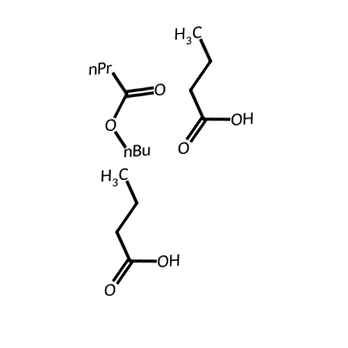 CCCC(=O)O.CCCC(=O)O.CCCCOC(=O)CCC